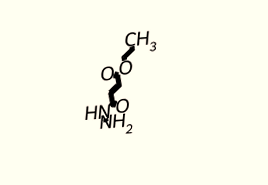 CCCOC(=O)C=CC(=O)NN